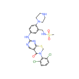 CS(=O)(=O)NCc1cc(Nc2ncc3c(n2)SCN(c2c(Cl)cccc2Cl)C3=O)ccc1N1CCNCC1